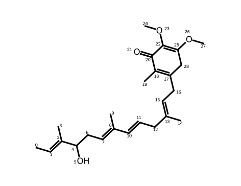 C/C=C(\C)C(O)C/C=C(C)/C=C/C/C(C)=C/CC1=C(C)C(=O)C(OC)=C(OC)C1